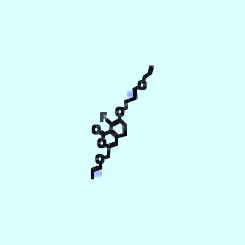 C=CCO/C=C/CCOc1ccc2cc(CO/C=C/C)oc(=O)c2c1F